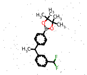 CC(c1ccc(B2OC(C)(C)C(C)(C)O2)cc1)c1cccc(C(F)F)c1